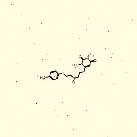 CCN(CCCc1cc(=O)n(C)c(=O)n1C)CCOc1ccc(N)cc1